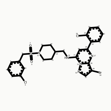 O=S(=O)(Cc1cccc(Cl)c1)N1CCC(CNc2cc(-c3ccccc3Cl)nc3c(Br)cnn23)CC1